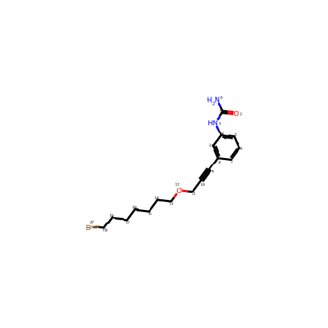 NC(=O)Nc1cccc(C#CCOCCCCCCCBr)c1